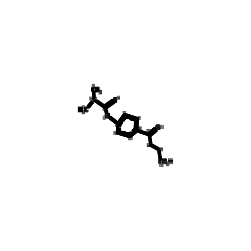 CN(C)C(=S)Oc1ccc(C(=O)CCC(=O)O)cc1